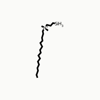 CCCCCCCCCCCCCCCC[N+](C)(C)CCC[SiH3]